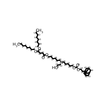 CCCCCCCCOC(CCC(=O)OCCCCCCN(CCO)CCCCCOC(=O)OCCC12CC3CC(CC(C3)C1)C2)OCCCCCCCC